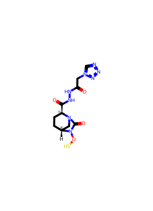 O=C(Cn1cnnn1)NNC(=O)[C@@H]1CC[C@@H]2CN1C(=O)N2OS